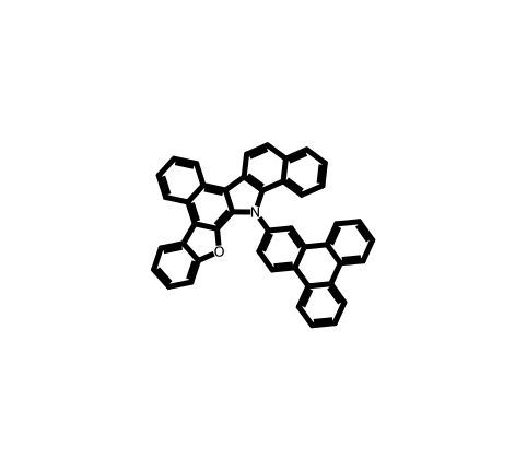 c1ccc2c(c1)ccc1c3c4ccccc4c4c5ccccc5oc4c3n(-c3ccc4c5ccccc5c5ccccc5c4c3)c21